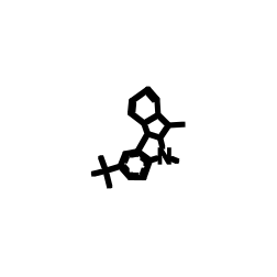 CC1C2C=CC=CC2C2c3cc(C(C)(C)C)ccc3N(C)C12